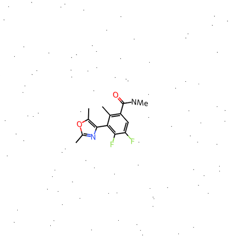 CNC(=O)c1cc(F)c(F)c(-c2nc(C)oc2C)c1C